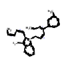 C=C/C=C(\C=C/Cn1c(/C=C\C=C/C)c(C)c2ccccc21)c1cccc(C)c1